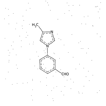 Cc1cn(-c2cccc(C=O)c2)cn1